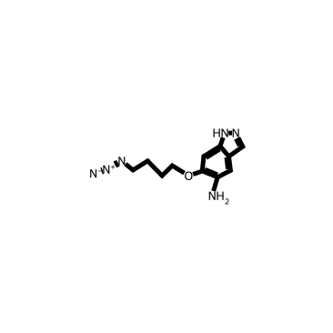 [N-]=[N+]=NCCCCOc1cc2[nH]ncc2cc1N